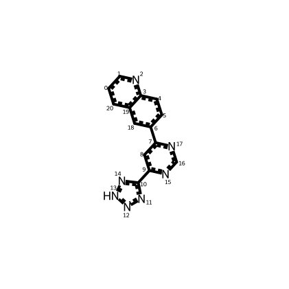 c1cnc2ccc(-c3cc(-c4nn[nH]n4)ncn3)cc2c1